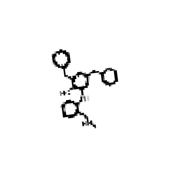 CNCc1ccccc1Pc1cc(CC2C=CC=CC2)cc(Cc2ccccc2)c1O